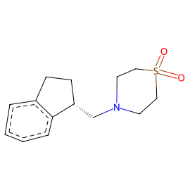 O=S1(=O)CCN(C[C@H]2CCc3ccccc32)CC1